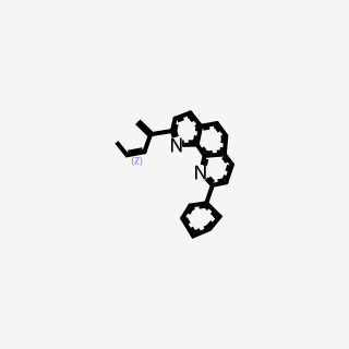 C=C(/C=C\C)c1ccc2ccc3ccc(-c4ccccc4)nc3c2n1